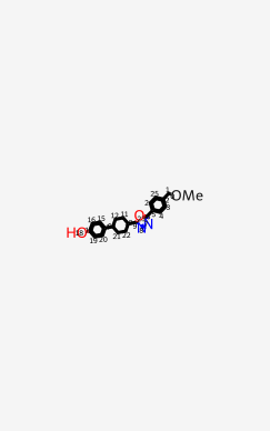 COCc1ccc(-c2nnc(C3CCC(c4ccc(O)cc4)CC3)o2)cc1